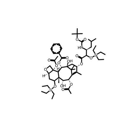 CC[Si](CC)(CC)OC(C(=O)O[C@H]1C[C@@]2(O)[C@@H](OC(=O)c3ccccc3)[C@@H]3[C@]4(OC(C)=O)CO[C@@H]4CC(O[Si](CC)(CC)CC)[C@@]3(C)[C@@H](O)[C@@H](OC(C)=O)C(=C1C)C2(C)C)[C@H](CC(C)C)NC(=O)OC(C)(C)C